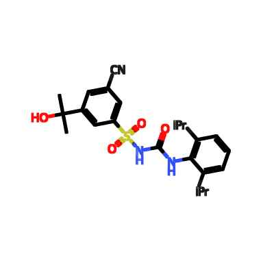 CC(C)c1cccc(C(C)C)c1NC(=O)NS(=O)(=O)c1cc(C#N)cc(C(C)(C)O)c1